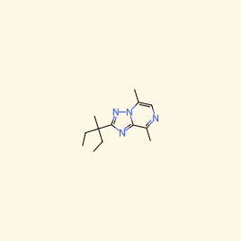 CCC(C)(CC)c1nc2c(C)ncc(C)n2n1